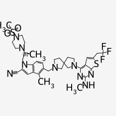 CNc1nc(N2CCC3(CCN(Cc4ccc5c(cc(C#N)n5C[C@H](C)N5CCN(S(C)(=O)=O)CC5)c4C)C3)C2)c2cc(CC(F)(F)F)sc2n1